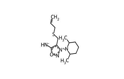 C=CCSCc1c([NH-])on[n+]1N1C(C)CCCC1C